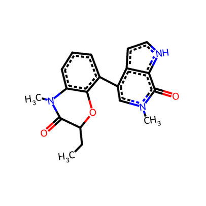 CCC1Oc2c(-c3cn(C)c(=O)c4[nH]ccc34)cccc2N(C)C1=O